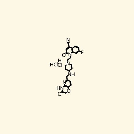 Cl.Cl.N#Cc1cc(=O)n(CCN2CCC(NCc3ccc4c(n3)NC(=O)CO4)CC2)c2cc(F)ccc12